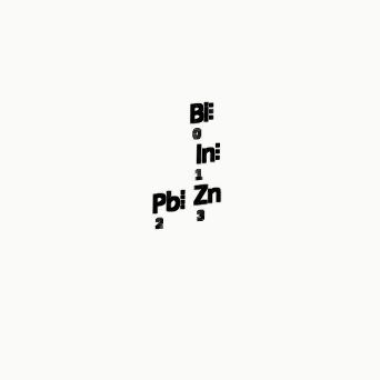 [Bi].[In].[Pb].[Zn]